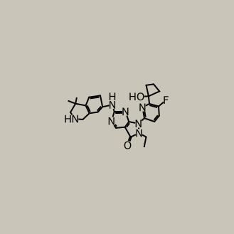 CCn1c(=O)c2cnc(Nc3ccc4c(c3)CNCC4(C)C)nc2n1-c1ccc(F)c(C2(O)CCC2)n1